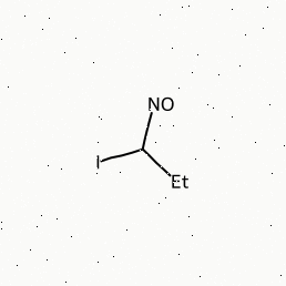 CCC(I)N=O